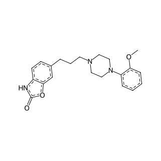 COc1ccccc1N1CCN(CCCc2ccc3[nH]c(=O)oc3c2)CC1